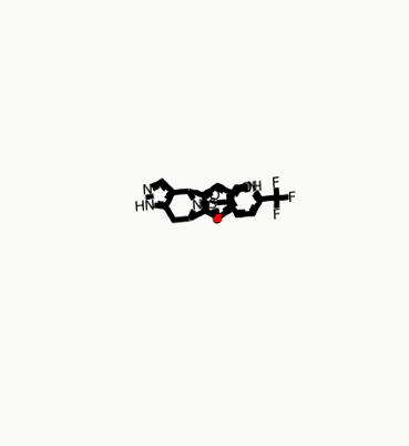 O=S(=O)(c1ccc(C(F)(F)F)nc1)N1C2Cc3[nH]ncc3C1c1cc(O)ccc12